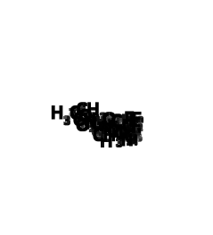 C[C@@H]1CN(C(=O)OC(C)(C)C)CC[C@H]1NC(=O)C(C)(C)COc1ncccc1OC(F)(F)F